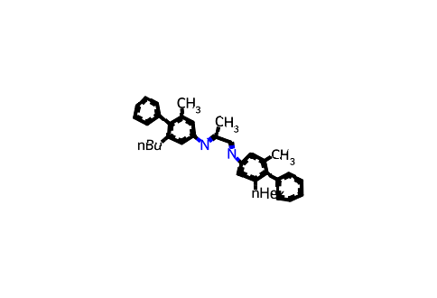 CCCCCCc1cc(N=CC(C)=Nc2cc(C)c(-c3ccccc3)c(CCCC)c2)cc(C)c1-c1ccccc1